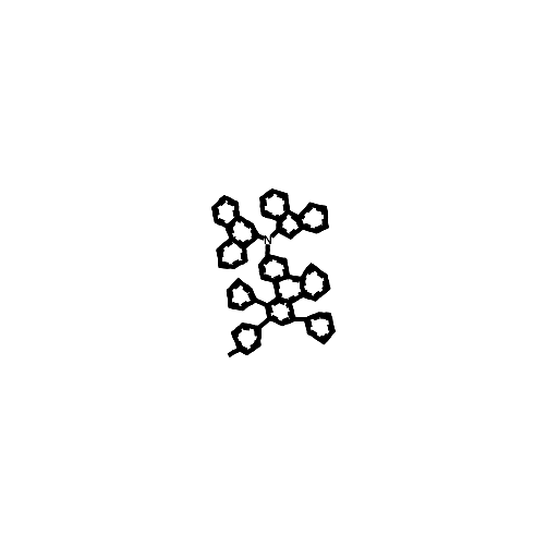 Cc1ccc(-c2cc(-c3ccccc3)c3c4ccccc4c4cc(N(c5cc6ccccc6c6ccccc56)c5cc6ccccc6c6ccccc56)ccc4c3c2-c2ccccc2)cc1